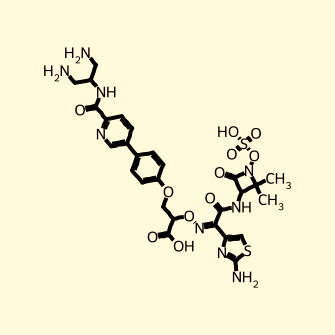 CC1(C)C(NC(=O)C(=NOC(COc2ccc(-c3ccc(C(=O)NC(CN)CN)nc3)cc2)C(=O)O)c2csc(N)n2)C(=O)N1OS(=O)(=O)O